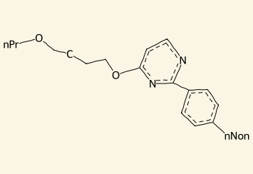 CCCCCCCCCc1ccc(-c2nccc(OCCCCOCCC)n2)cc1